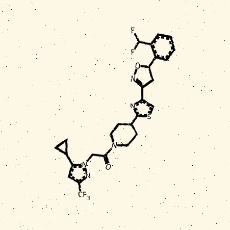 O=C(Cn1nc(C(F)(F)F)cc1C1CC1)N1CCC(c2nc(C3=NOC(c4[c]cccc4C(F)F)C3)cs2)CC1